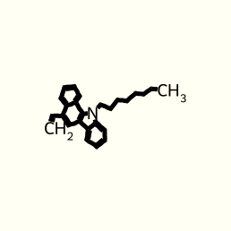 C=Cc1cc2c3ccccc3n(CCCCCCCC)c2c2ccccc12